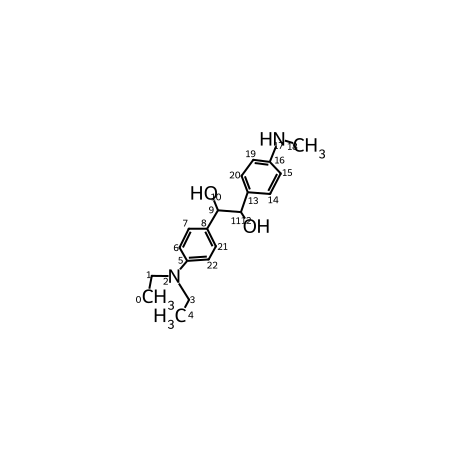 CCN(CC)c1ccc(C(O)C(O)c2ccc(NC)cc2)cc1